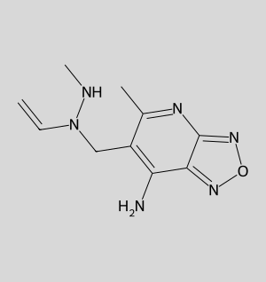 C=CN(Cc1c(C)nc2nonc2c1N)NC